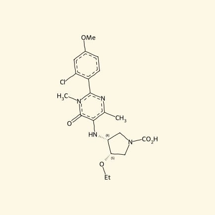 CCO[C@H]1CN(C(=O)O)C[C@H]1Nc1c(C)nc(-c2ccc(OC)cc2Cl)n(C)c1=O